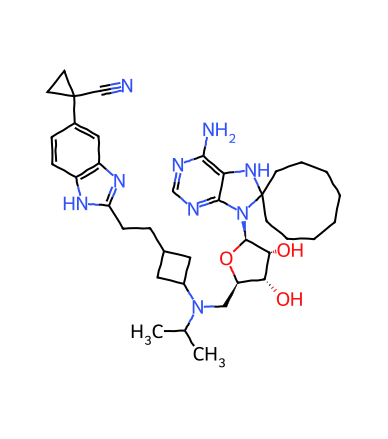 CC(C)N(C[C@H]1O[C@@H](N2c3ncnc(N)c3NC23CCCCCCCC3)[C@H](O)[C@@H]1O)C1CC(CCc2nc3cc(C4(C#N)CC4)ccc3[nH]2)C1